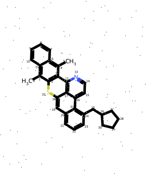 Cc1c2c(c(C)c3ccccc13)-c1nccc3c1c(cc1cccc(CC4CCCC4)c13)S2